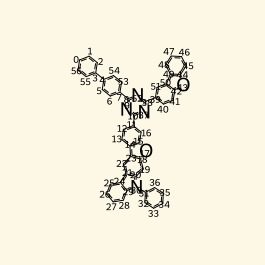 c1ccc(-c2ccc(-c3nc(-c4ccc5c(c4)oc4cc6c(cc45)c4ccccc4n6-c4ccccc4)nc(-c4ccc5oc6ccccc6c5c4)n3)cc2)cc1